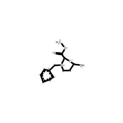 COC(=O)C1CC(O)CCN1Cc1ccccc1